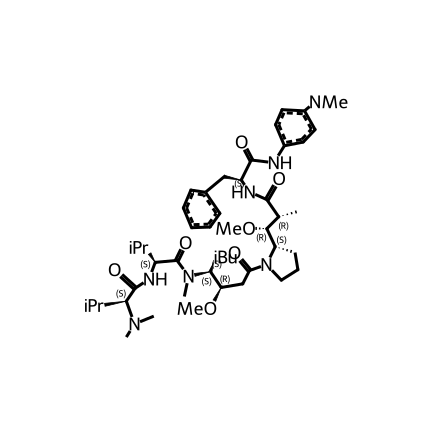 CC[C@H](C)[C@@H]([C@@H](CC(=O)N1CCC[C@H]1[C@H](OC)[C@@H](C)C(=O)N[C@@H](Cc1ccccc1)C(=O)Nc1ccc(NC)cc1)OC)N(C)C(=O)[C@@H](NC(=O)[C@H](C(C)C)N(C)C)C(C)C